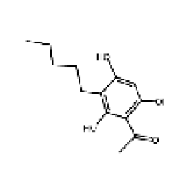 CCCCCc1c(O)cc(O)c(C(C)=O)c1O